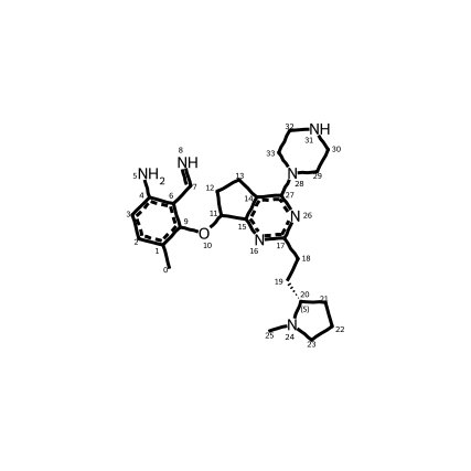 Cc1ccc(N)c(C=N)c1OC1CCc2c1nc(CC[C@@H]1CCCN1C)nc2N1CCNCC1